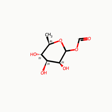 C[C@H]1OC(O[C]=O)[C@@H](O)[C@@H](O)[C@@H]1O